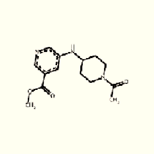 COC(=O)c1cncc(NC2CCN(C(C)=O)CC2)c1